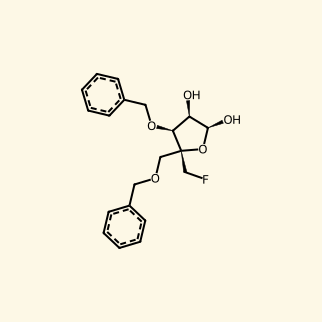 O[C@H]1[C@@H](O)O[C@](CF)(COCc2ccccc2)[C@H]1OCc1ccccc1